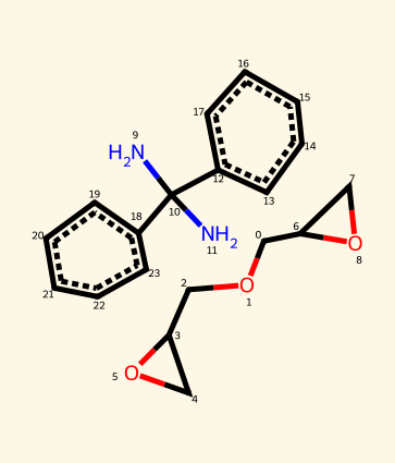 C(OCC1CO1)C1CO1.NC(N)(c1ccccc1)c1ccccc1